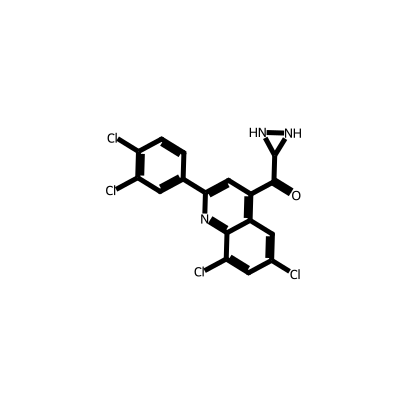 O=C(c1cc(-c2ccc(Cl)c(Cl)c2)nc2c(Cl)cc(Cl)cc12)C1NN1